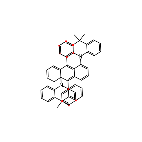 CC1(C)c2ccccc2N(c2cccc3c2=C(c2ccccc2)C2=CC=CCC2(N2c4ccccc4C(C)(C)c4ccccc42)C=3c2ccccc2)c2ccccc21